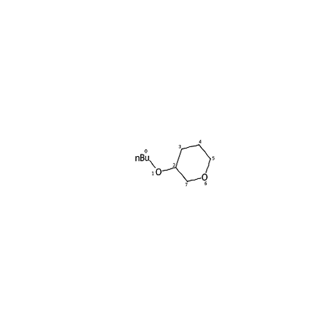 CCCCOC1CCCOC1